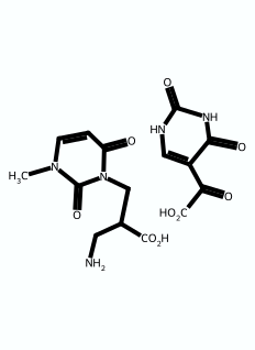 Cn1ccc(=O)n(CC(CN)C(=O)O)c1=O.O=C(O)C(=O)c1c[nH]c(=O)[nH]c1=O